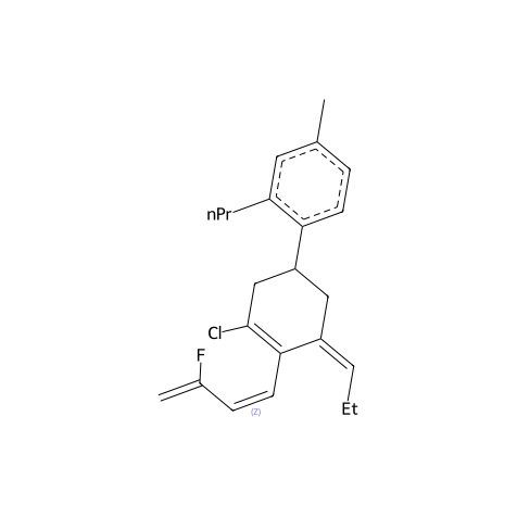 C=C(F)/C=C\C1=C(Cl)CC(c2ccc(C)cc2CCC)CC1=CCC